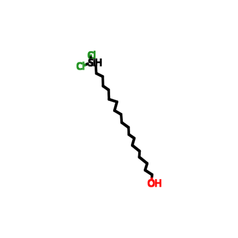 OCCCCCCCCCCCCCCCCCCC[SiH](Cl)Cl